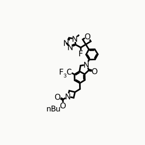 CCCCOC(=O)N1CC(Cc2cc3c(c(C(F)(F)F)c2)CN(c2cccc(C4(C(F)c5nncn5C)COC4)c2)C3=O)C1